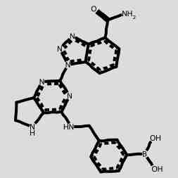 NC(=O)c1cccc2c1nnn2-c1nc2c(c(NCc3cccc(B(O)O)c3)n1)NCC2